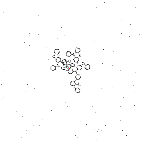 CC1(C)c2ccccc2-c2cccc(-c3cccc(N(c4ccc5c(c4)C4(c6ccccc6Oc6ccccc64)c4cc(N(c6ccccc6)c6cc7oc8ccccc8c7cc6-c6cc7ccccc7s6)ccc4-5)c4cc(-c5ccc6c(c5)Sc5ccccc5N6c5ccccc5)c5oc6ccccc6c5c4)c3)c21